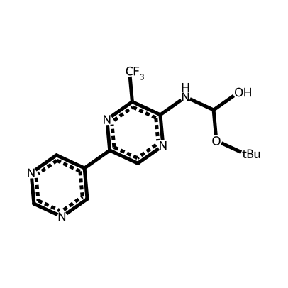 CC(C)(C)OC(O)Nc1ncc(-c2cncnc2)nc1C(F)(F)F